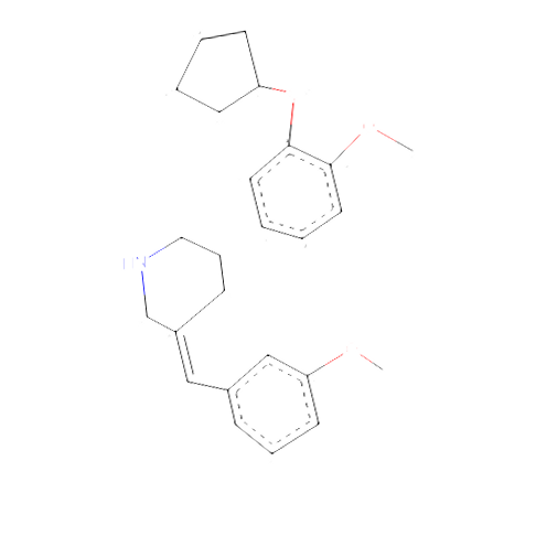 COc1cccc(/C=C2/CNC[C@H](c3ccc(OC)c(OC4CCCC4)c3)C2)c1